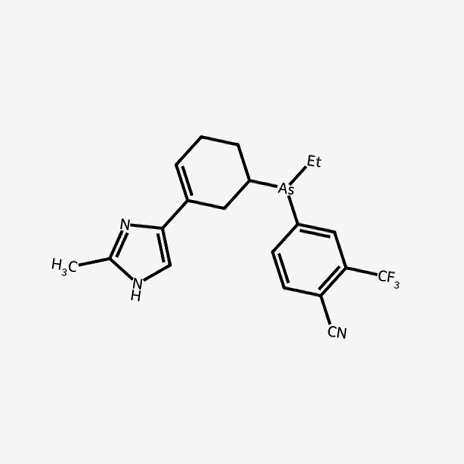 CC[As](c1ccc(C#N)c(C(F)(F)F)c1)C1CCC=C(c2c[nH]c(C)n2)C1